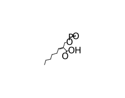 CCCCCC=C(COP=O)C(=O)O